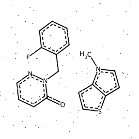 Cn1ccc2sccc21.O=c1cccnn1Cc1ccccc1F